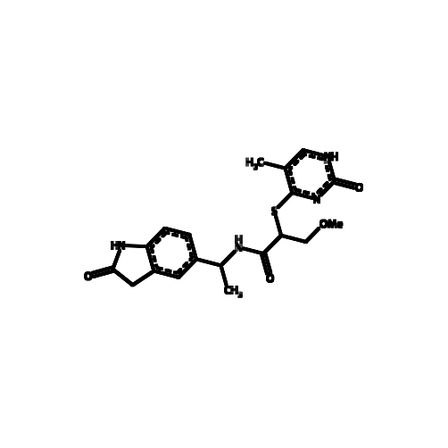 COCC(Sc1nc(=O)[nH]cc1C)C(=O)NC(C)c1ccc2c(c1)CC(=O)N2